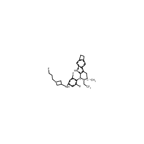 C[C@H]1Cc2c([nH]c3cc4c(cc23)CC4)[C@H](c2c(F)cc(NC3CN(CCCF)C3)cc2F)N1CC(F)(F)F